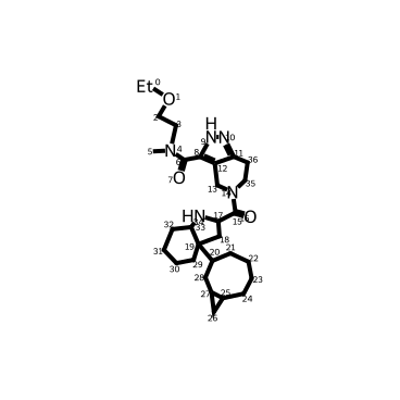 CCOCCN(C)C(=O)c1[nH]nc2c1CN(C(=O)C1CC3(C4CCCCC5CC5C4)CCCCC3N1)CC2